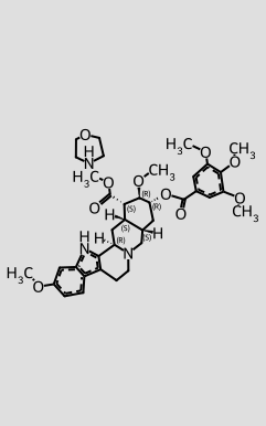 C1COCCN1.COC(=O)[C@H]1[C@H]2C[C@@H]3c4[nH]c5cc(OC)ccc5c4CCN3C[C@H]2C[C@@H](OC(=O)c2cc(OC)c(OC)c(OC)c2)[C@@H]1OC